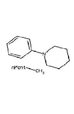 CCCCCC.c1ccc(N2CCCCC2)cc1